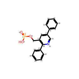 O=[PH](O)OCc1cc(-c2ccccc2)cnc1-c1ccccc1